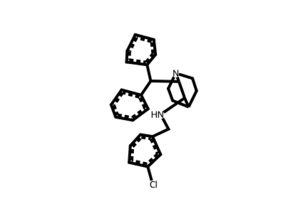 Clc1cccc(CNC2C3CCN(CC3)C2C(c2ccccc2)c2ccccc2)c1